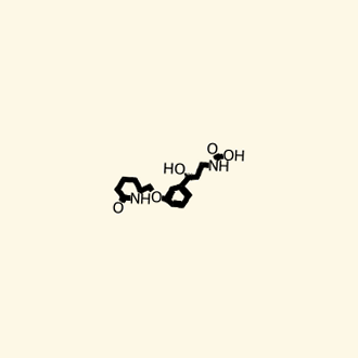 O=C(O)NCC[C@@H](O)c1cccc(OCC2CCCC(=O)N2)c1